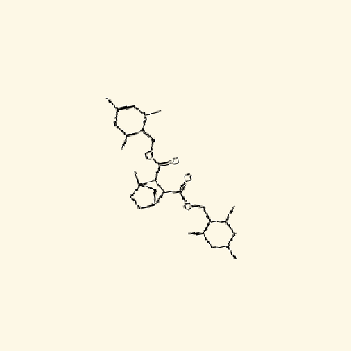 CC1CC(C)C(COC(=O)C2C3CCC(C)(C3)C2C(=O)OCC2C(C)CC(C)CC2C)C(C)C1